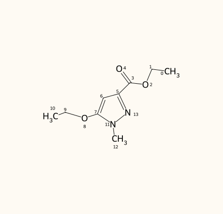 CCOC(=O)c1cc(OCC)n(C)n1